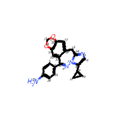 Nc1ccc(C2=Nn3c(C4CC4)cnc3Cc3cc4c(cc32)OCO4)cc1